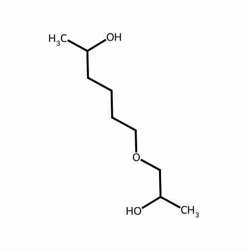 CC(O)CCCCOCC(C)O